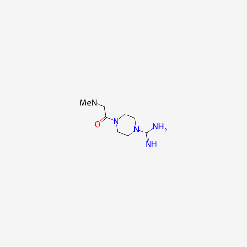 CNCC(=O)N1CCN(C(=N)N)CC1